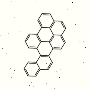 c1ccc2c(c1)ccc1c3ccc4ccc5cccc6c7cccc(c21)c7c3c4c56